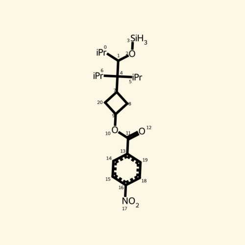 CC(C)C(O[SiH3])C(C(C)C)(C(C)C)C1CC(OC(=O)c2ccc([N+](=O)[O-])cc2)C1